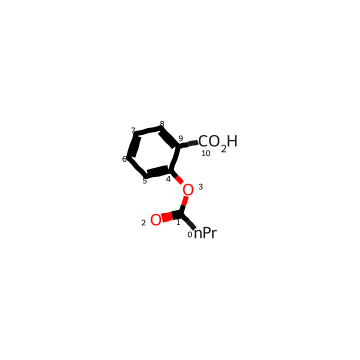 CCCC(=O)Oc1ccccc1C(=O)O